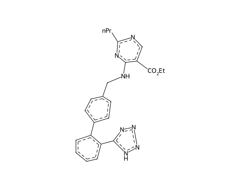 CCCc1ncc(C(=O)OCC)c(NCc2ccc(-c3ccccc3-c3nnn[nH]3)cc2)n1